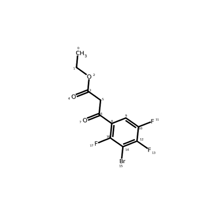 CCOC(=O)CC(=O)c1cc(F)c(F)c(Br)c1F